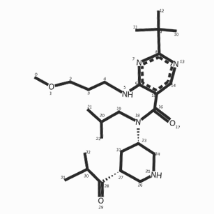 COCCCNc1nc(C(C)(C)C)ncc1C(=O)N(CC(C)C)[C@@H]1CNC[C@H](C(=O)C(C)C)C1